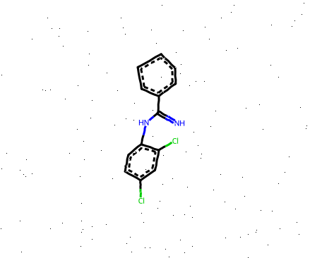 N=C(Nc1ccc(Cl)cc1Cl)c1ccccc1